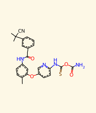 Cc1ccc(NC(=O)c2cccc(C(C)(C)C#N)c2)cc1Oc1ccc(NC(=S)OC(N)=O)nc1